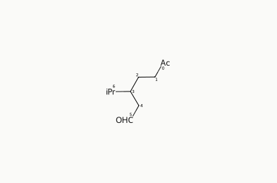 CC(=O)CCC(CC=O)C(C)C